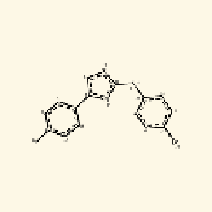 Cc1ccc(-c2csc(Nc3ccc(Br)cc3)n2)cc1